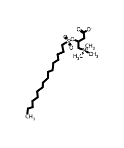 CCCCCCCCCCCCCCCCS(=O)(=O)OC(CC(=O)[O-])C[N+](C)(C)C